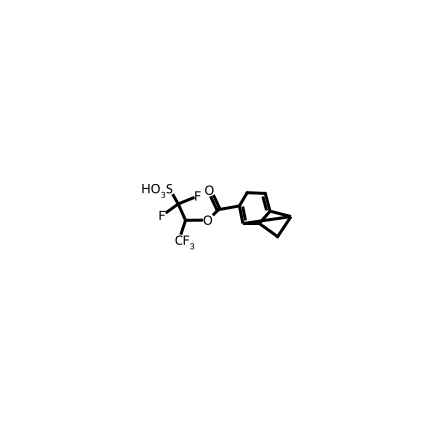 O=C(OC(C(F)(F)F)C(F)(F)S(=O)(=O)O)C1=C2C3CC2C3=CC1